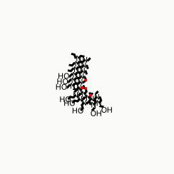 CCCN1CCN(CC)c2c1n(CCC)c1c(n2CC)n(CC)c2c(n1CCC)n(CCO)c1c(n(CC)c3c(n1CCO)N(CCO)CC1(CN(CCO)C4=C(N(CC)C5=C(N(CCO)CC6(CN(CCO)C7=C(N(CC)CCN7CCO)N6CC)N5CC)N4CCO)N1CC)N3CC)n2CC